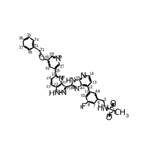 CS(=O)(=O)NCc1cc(F)cc(-c2ccnc3[nH]c(-c4n[nH]c5ccc(-c6cncc(OCc7ccccc7)c6)nc45)nc23)c1